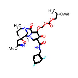 COC1=NO[C@@]2(CC[C@H](C)N3C[C@H]2n2cc(C(=O)NCc4ccc(F)cc4F)c(=O)c(OCOC(=O)OC[C@@H](C)OC)c2C3=O)C1